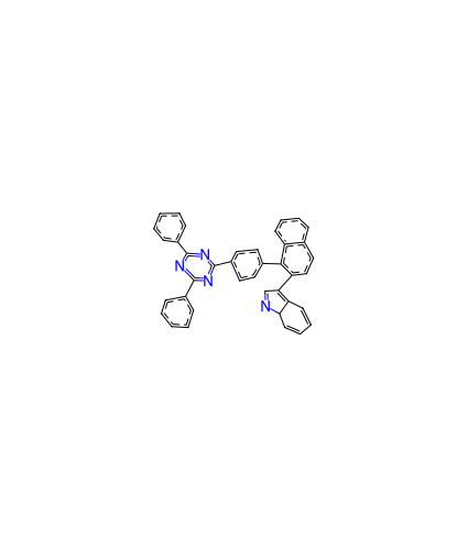 C1=CC2=C(c3ccc4ccccc4c3-c3ccc(-c4nc(-c5ccccc5)nc(-c5ccccc5)n4)cc3)C=NC2C=C1